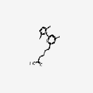 Cc1cc(CCCCC(=O)O)nc(-n2c(C)ccc2C)c1